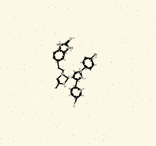 CC1=CN(CCc2ccc3[nH]c(=O)[nH]c3c2)[C@H](c2cn(-c3ccc(Br)cc3)nc2-c2ccc(F)cn2)O1